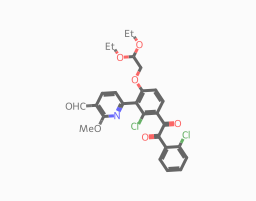 CCOC(COc1ccc(C(=O)C(=O)c2ccccc2Cl)c(Cl)c1-c1ccc(C=O)c(OC)n1)OCC